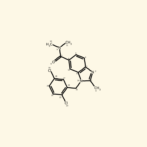 Cc1nc2ccc(C(=O)N(C)C)cc2n1Cc1cc(Cl)ccc1Cl